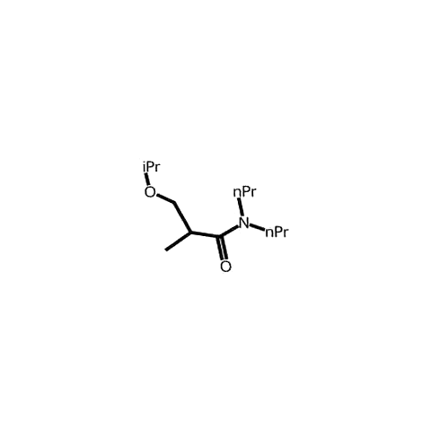 CCCN(CCC)C(=O)C(C)COC(C)C